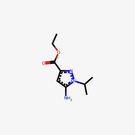 CCOC(=O)c1cc(N)n(C(C)C)n1